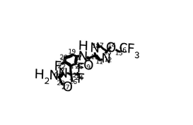 NC1=N[C@@](c2cc(NC(=O)c3cnc(OCC(F)(F)F)cn3)ccc2F)(C(F)F)COC1